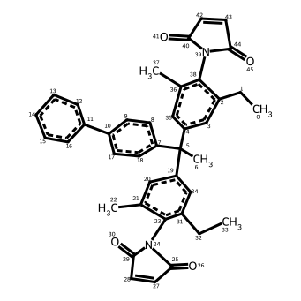 CCc1cc(C(C)(c2ccc(-c3ccccc3)cc2)c2cc(C)c(N3C(=O)C=CC3=O)c(CC)c2)cc(C)c1N1C(=O)C=CC1=O